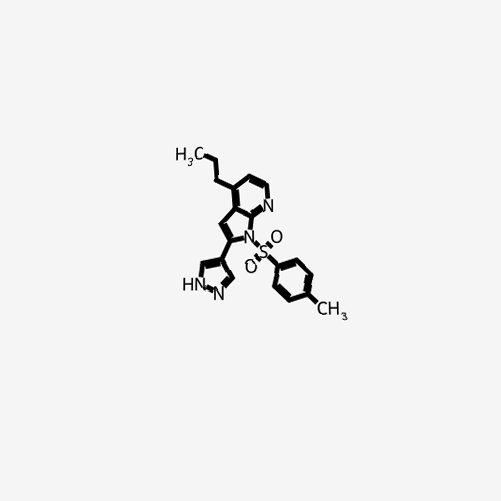 CCCc1ccnc2c1cc(-c1cn[nH]c1)n2S(=O)(=O)c1ccc(C)cc1